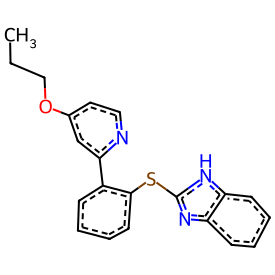 CCCOc1ccnc(-c2ccccc2Sc2nc3ccccc3[nH]2)c1